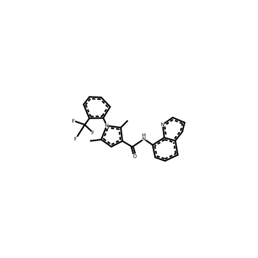 Cc1cc(C(=O)Nc2cccc3cccnc23)c(C)n1-c1ccccc1C(F)(F)F